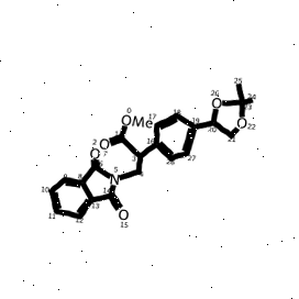 COC(=O)C(CN1C(=O)c2ccccc2C1=O)c1ccc(C2COC(C)(C)O2)cc1